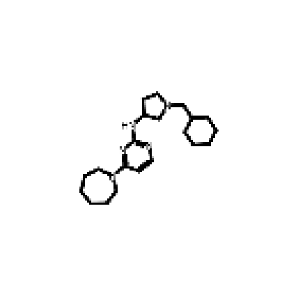 c1cc(N2CCCCCC2)nc(NC2CCN(CC3CCCCC3)C2)n1